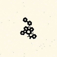 CC1=c2ccccc2=Nc2c(cc3c4c(ccc5c4c4c2cccc4n5-c2cccc(-c4ccccc4)c2)-c2ccccc2-3)[C@@H]1C